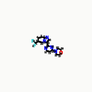 FC(F)c1ccc2ncc(-c3nccc(N4CCOCC4)n3)n2c1